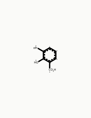 CCCc1c[c]cc(C(=O)O)c1O